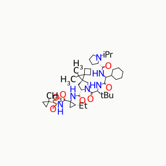 CC[C@@H]1C[C@]1(NC(=O)[C@@H]1C[C@@]2(CN1C(=O)[C@@H](NC(=O)[C@@H](NC(=O)[C@@H]1CCCN1C(C)C)C1CCCCC1)C(C)(C)C)C(C)(C)C21CCC1)C(=O)NS(=O)(=O)C1(C)CC1